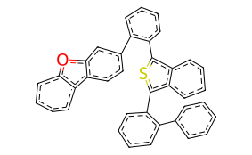 c1ccc(-c2ccccc2-c2sc(-c3ccccc3-c3ccc4c(c3)oc3ccccc34)c3ccccc23)cc1